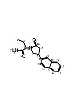 CCC(C(N)=O)N1CC(c2ccc3ccccc3c2)CC1=O